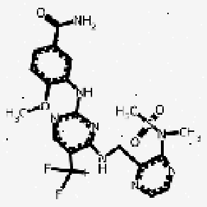 COc1ccc(C(N)=O)cc1Nc1ncc(C(F)(F)F)c(NCc2nccnc2N(C)S(C)(=O)=O)n1